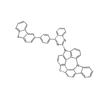 c1ccc2c(-c3ccc(-c4ccc5sc6ccccc6c5c4)cc3)nc(-n3c4ccc5oc6ccc7c8ccccc8n8c9cccc3c9c4c5c6c78)nc2c1